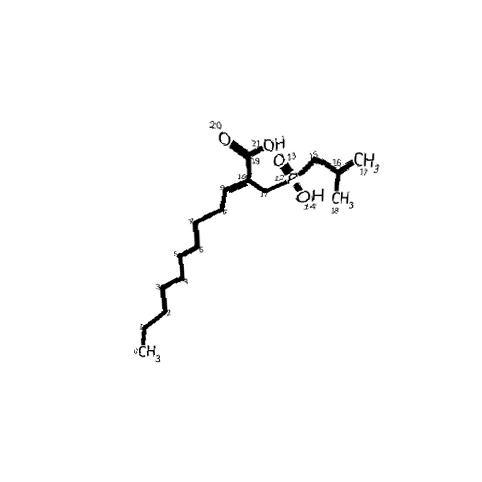 CCCCCCCCCC=C(CP(=O)(O)CC(C)C)C(=O)O